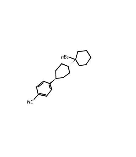 CCCCC1([C@H]2CC[C@H](c3ccc(C#N)cc3)CC2)CCCCC1